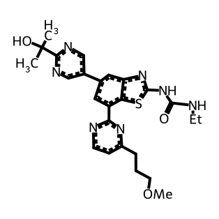 CCNC(=O)Nc1nc2cc(-c3cnc(C(C)(C)O)nc3)cc(-c3nccc(CCCOC)n3)c2s1